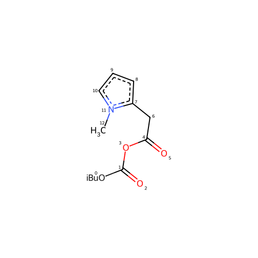 CC(C)COC(=O)OC(=O)Cc1cccn1C